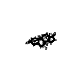 CC(=O)OC[C@]12CCC(=O)C=C1C[C@@H](C)[C@@H]1[C@@H]2CC[C@]2(C)C(=O)CC[C@@H]12